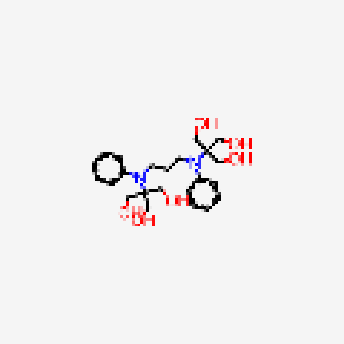 OCC(CO)(CO)N(CCCN(c1ccccc1)C(CO)(CO)CO)c1ccccc1